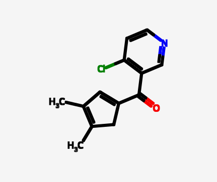 CC1=C(C)CC(C(=O)c2cnccc2Cl)=C1